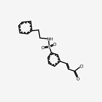 O=C(Cl)/C=C/c1cccc(S(=O)(=O)NCCc2ccccc2)c1